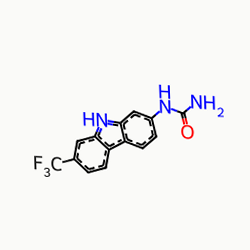 NC(=O)Nc1ccc2c(c1)[nH]c1cc(C(F)(F)F)ccc12